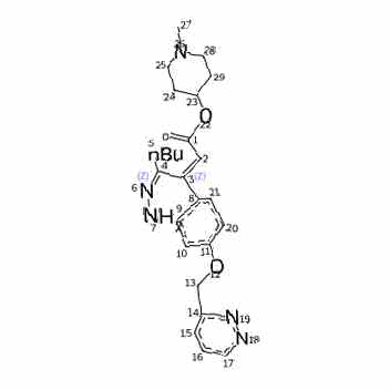 C=C(/C=C(\C(CCCC)=N/N)c1ccc(OCc2cccnn2)cc1)OC1CCN(C)CC1